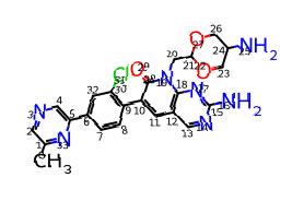 Cc1cncc(-c2ccc(-c3cc4cnc(N)nc4n(CC4OCC(N)CO4)c3=O)c(Cl)c2)n1